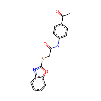 CC(=O)c1ccc(NC(=O)CSc2nc3ccccc3o2)cc1